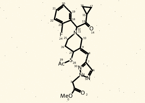 COC(=O)Cn1ncc(C=C2CN(C(C(=O)C3CC3)c3ccccc3F)CCC2SC(C)=O)n1